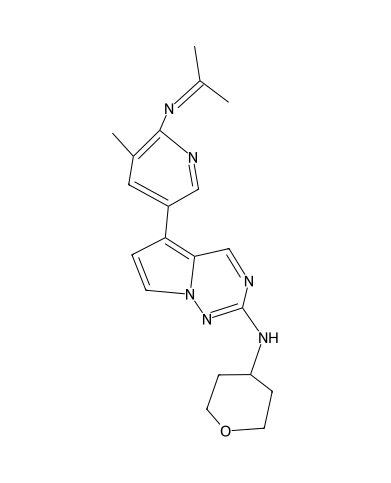 CC(C)=Nc1ncc(-c2ccn3nc(NC4CCOCC4)ncc23)cc1C